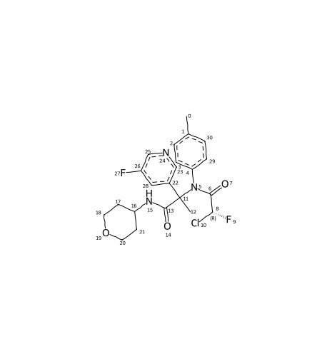 Cc1ccc(N(C(=O)[C@H](F)Cl)C(C)(C(=O)NC2CCOCC2)c2cncc(F)c2)cc1